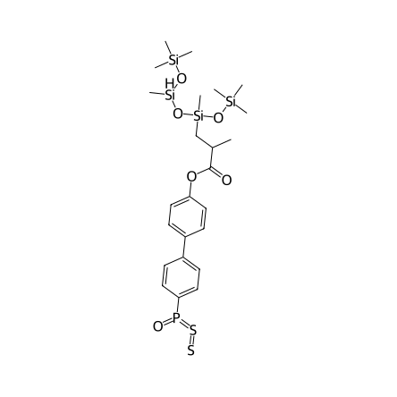 CC(C[Si](C)(O[SiH](C)O[Si](C)(C)C)O[Si](C)(C)C)C(=O)Oc1ccc(-c2ccc(P(=O)=S=S)cc2)cc1